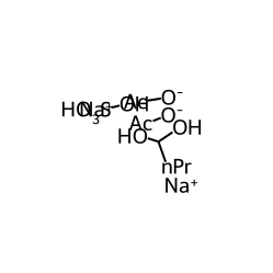 CC(=O)[O-].CC(=O)[O-].CCCC(O)O.O=S(=O)(O)O.[Na+].[Na+]